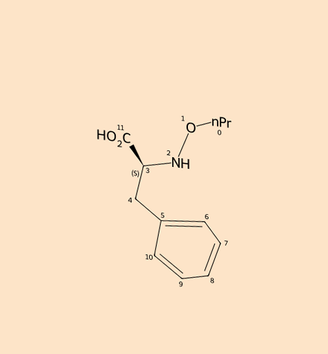 CCCON[C@@H](Cc1ccccc1)C(=O)O